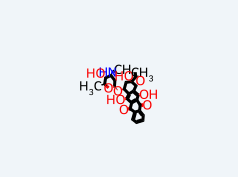 CN[C@H]1C[C@H](O[C@H]2C[C@](O)(C(C)=O)Cc3c(O)c4c(c(O)c32)C(=O)c2ccccc2C4=O)O[C@@H](C)[C@H]1O